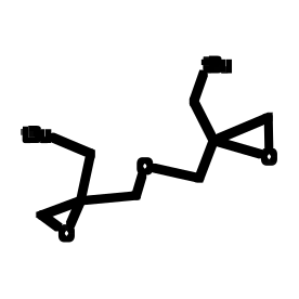 CC(C)(C)CC1(COCC2(CC(C)(C)C)CO2)CO1